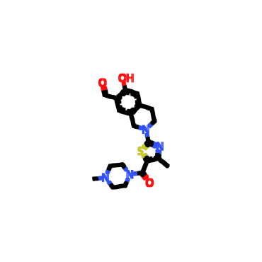 Cc1nc(N2CCc3cc(O)c(C=O)cc3C2)sc1C(=O)N1CCN(C)CC1